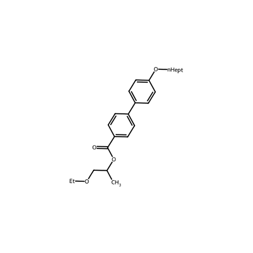 CCCCCCCOc1ccc(-c2ccc(C(=O)OC(C)COCC)cc2)cc1